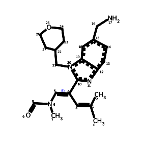 CC(C)=C/C(=C\N(C)C=O)c1nc2ccc(CN)cc2n1CC1CCOCC1